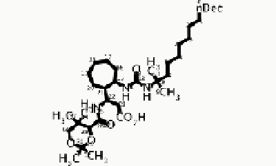 CCCCCCCCCCCCCCCCCC(C)(C)NC(=O)NC1CCCCCC1C(CC(=O)O)NC(=O)C1OC(C)(C)OCC1(C)C